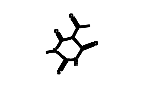 CC(=O)C1C(=O)NC(=S)N(C)C1=O